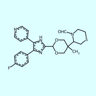 CC1(C2CSCCN2C=O)COC(c2nc(-c3ccc(F)cc3)c(-c3ccncc3)[nH]2)OC1